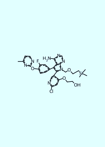 Cc1ccnc(Oc2ccc(-c3c(-c4cnc(Cl)cc4OCCO)n(COCC[Si](C)(C)C)c4ncnc(N)c34)cc2F)n1